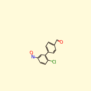 O=Cc1ccc(-c2cc(N=O)ccc2Cl)cc1